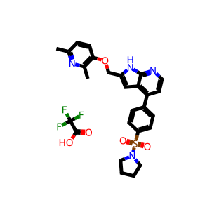 Cc1ccc(OCc2cc3c(-c4ccc(S(=O)(=O)N5CCCC5)cc4)ccnc3[nH]2)c(C)n1.O=C(O)C(F)(F)F